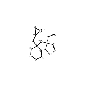 CC[Si](CC)(CC)OC1(CC2CO2)CCCCC1